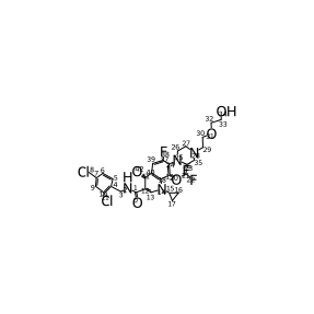 O=C(NCc1ccc(Cl)cc1Cl)c1cn(C2CC2)c2c(OC(F)F)c(N3CCN(CCOCCO)CC3)c(F)cc2c1=O